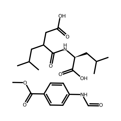 CC(C)CC(CC(=O)O)C(=O)N[C@@H](CC(C)C)C(=O)O.COC(=O)c1ccc(NC=O)cc1